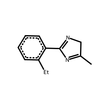 CCc1ccccc1C1=NCC(C)=N1